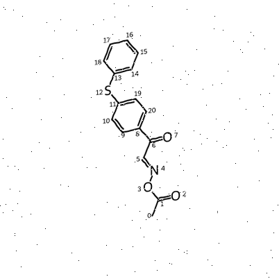 CC(=O)O/N=C/C(=O)c1ccc(Sc2ccccc2)cc1